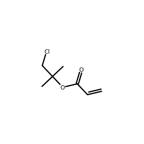 C=CC(=O)OC(C)(C)CCl